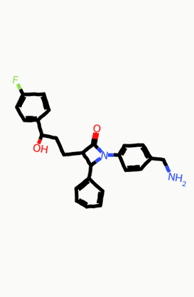 NCc1ccc(N2C(=O)C(CCC(O)c3ccc(F)cc3)C2c2ccccc2)cc1